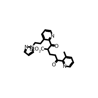 CCOC(=O)C(CCC(=O)c1ncccc1C)C(=O)c1ncccc1CCn1cccn1